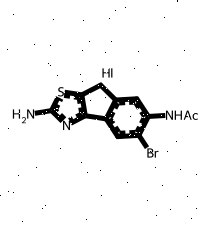 CC(=O)Nc1cc2c(cc1Br)-c1nc(N)sc1C2.I